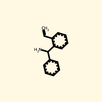 C=Cc1ccccc1C(N)c1ccccc1